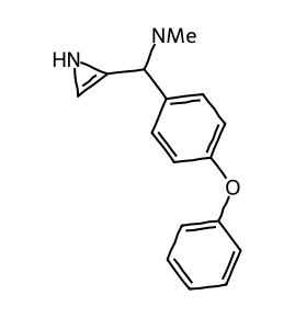 CNC(C1=CN1)c1ccc(Oc2ccccc2)cc1